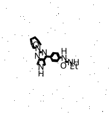 CCNC(=O)Nc1ccc(-c2nc(N3CC4CCC(C3)O4)nc3c2CNC3)cc1